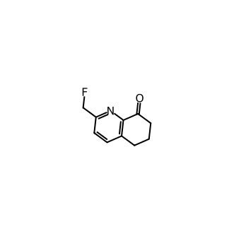 O=C1CCCc2ccc(CF)nc21